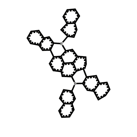 c1ccc2cc(B3c4cc5ccccc5cc4-c4ccc5cc6c7c(ccc8cc3c4c5c87)-c3cc4ccccc4cc3B6c3ccc4ccccc4c3)ccc2c1